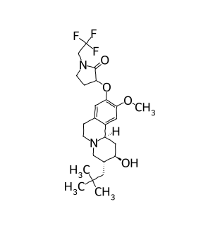 COc1cc2c(cc1OC1CCN(CC(F)(F)F)C1=O)CCN1C[C@@H](CC(C)(C)C)[C@H](O)C[C@H]21